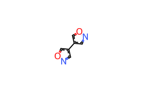 c1nocc1-c1cnoc1